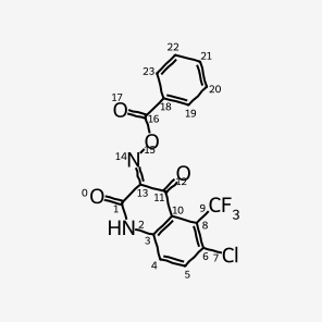 O=C1Nc2ccc(Cl)c(C(F)(F)F)c2C(=O)C1=NOC(=O)c1ccccc1